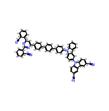 N#Cc1ccc2c(c1)c1cc(C#N)ccc1n2-c1ccc2c(c1)c1ccccc1n2-c1ccc(-c2ccc(-c3ccc(-c4cc(-c5ccccc5C#N)nc(-c5ccccc5C#N)n4)cc3)cc2)cc1